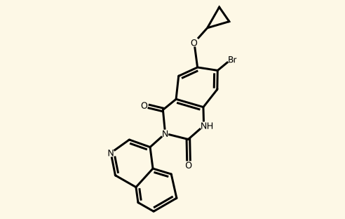 O=c1[nH]c2cc(Br)c(OC3CC3)cc2c(=O)n1-c1cncc2ccccc12